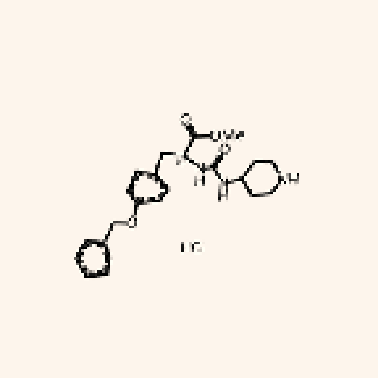 COC(=O)[C@H](Cc1ccc(OCc2ccccc2)cc1)NC(=O)NC1CCNCC1.Cl